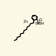 CCCCCCCCCCCCc1ccccc1S(=O)(=O)O.[Zn]